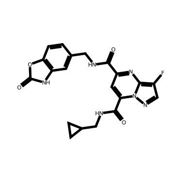 O=C(NCc1ccc2oc(=O)[nH]c2c1)c1cc(C(=O)NCC2CC2)n2ncc(F)c2n1